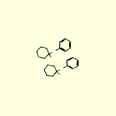 O[C]1([Cu][c]2ccccc2)CCCCC1.O[C]1([Cu][c]2ccccc2)CCCCC1